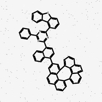 c1ccc(-c2nc(-c3ccc(-c4cc5ccc6cccc7c8cccc9ccc%10cccc(c(c4)c5c67)c%10c98)c4ccccc34)nc(-c3cccc4sc5ccccc5c34)n2)cc1